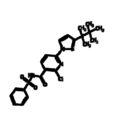 CC(C)(C)S(C)(C)c1ccn(-c2ccc(C(=O)NS(=O)(=O)c3ccccc3)c(Cl)n2)n1